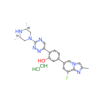 Cc1cn2cc(-c3ccc(-c4cnc(N5C[C@@H](C)N[C@@H](C)C5)nn4)c(O)c3)cc(F)c2n1.Cl.Cl